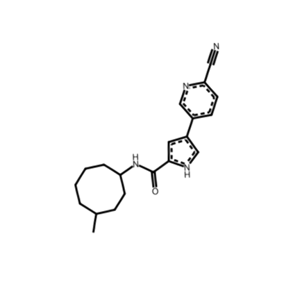 CC1CCCCC(NC(=O)c2cc(-c3ccc(C#N)nc3)c[nH]2)CC1